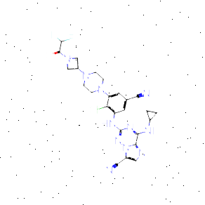 N#Cc1cc(Nc2nc(NC3CC3)c3ncc(C#N)n3n2)c(Cl)c(N2CCN(C3CN(C(=O)C(F)F)C3)CC2)c1